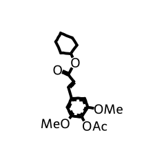 COc1cc(/C=C/C(=O)OC2CCCCC2)cc(OC)c1OC(C)=O